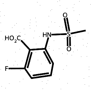 CS(=O)(=O)Nc1cccc(F)c1C(=O)O